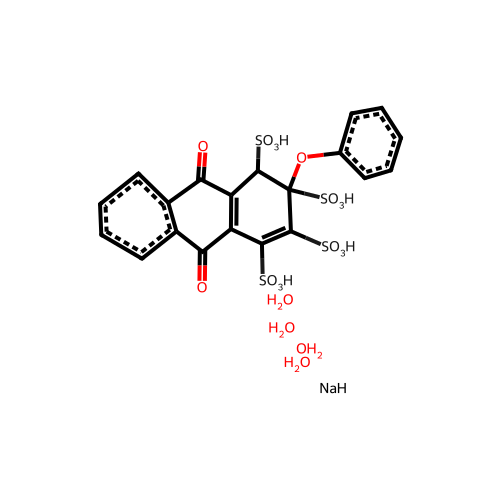 O.O.O.O.O=C1C2=C(C(=O)c3ccccc31)C(S(=O)(=O)O)C(Oc1ccccc1)(S(=O)(=O)O)C(S(=O)(=O)O)=C2S(=O)(=O)O.[NaH]